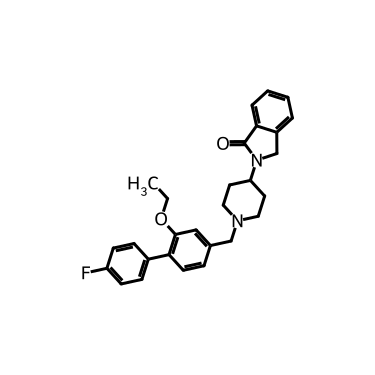 CCOc1cc(CN2CCC(N3Cc4ccccc4C3=O)CC2)ccc1-c1ccc(F)cc1